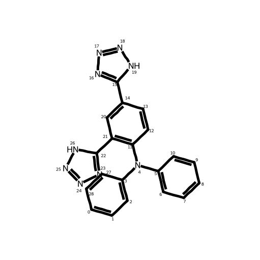 c1ccc(N(c2ccccc2)c2ccc(-c3nnn[nH]3)cc2-c2nnn[nH]2)cc1